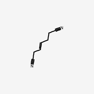 N#CCC=CCCC#N